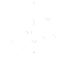 C[C@@H](O)[C@H](NC(=O)[C@H](CCC(=O)O)NC(=O)[C@@H](N)CS)C(=O)N[C@@H](Cc1c[nH]cn1)C(=O)O